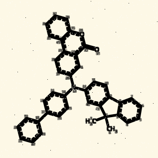 CC1(C)c2ccccc2-c2ccc(N(c3ccc(-c4ccccc4)cc3)c3ccc4c(c3)c(=O)oc3ccccc34)cc21